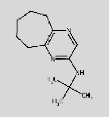 CC(C)(C)Nc1cnc2c(n1)CCCCC2